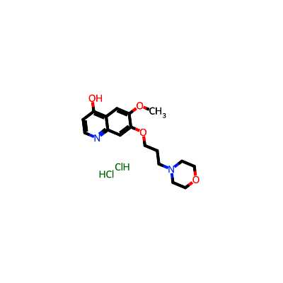 COc1cc2c(O)ccnc2cc1OCCCN1CCOCC1.Cl.Cl